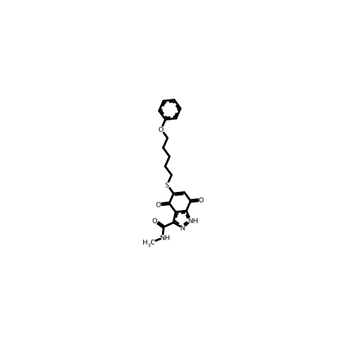 CNC(=O)c1n[nH]c2c1C(=O)C(SCCCCCOc1ccccc1)=CC2=O